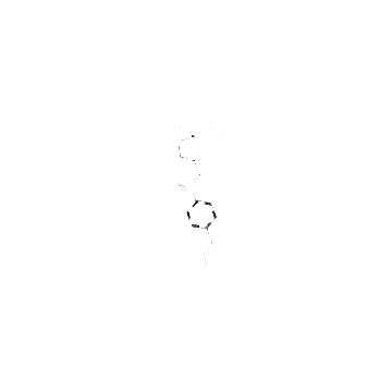 CC1(C)OCC(C[S@+]([O-])c2ccc(CCO)cc2)O1